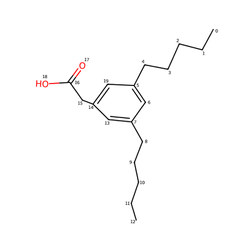 CCCCCc1cc(CCCCC)cc(CC(=O)O)c1